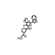 CC(C)Oc1nc(-c2cnn3ccccc23)nc(N[C@@H]2CCCN(C(=O)CO)C2)c1F